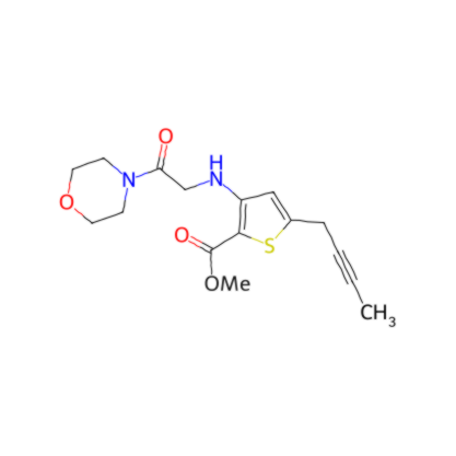 CC#CCc1cc(NCC(=O)N2CCOCC2)c(C(=O)OC)s1